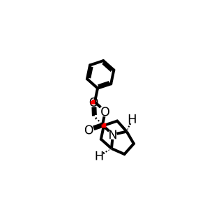 O=C[C@@H]1C[C@H]2CC[C@@H](C1)N2C(=O)OCc1ccccc1